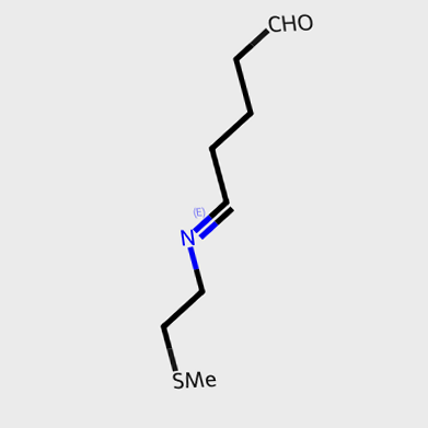 CSCC/N=C/CCCC=O